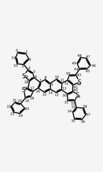 c1ccc(-c2cc3c4cc5cc6c(cc5cc4c4cc(-c5ccccc5)sc4c3s2)c2cc(-c3ccccc3)sc2c2sc(-c3ccccc3)cc62)cc1